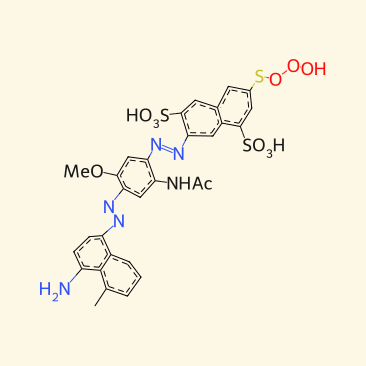 COc1cc(N=Nc2cc3c(S(=O)(=O)O)cc(SOOO)cc3cc2S(=O)(=O)O)c(NC(C)=O)cc1N=Nc1ccc(N)c2c(C)cccc12